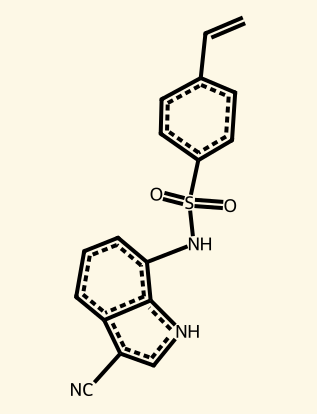 C=Cc1ccc(S(=O)(=O)Nc2cccc3c(C#N)c[nH]c23)cc1